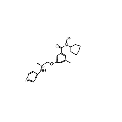 Cc1cc(OC[C@H](C)Nc2ccncc2)cc(C(=O)N(C(C)C)C2CCCCC2)c1